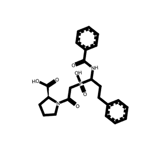 O=C(NC(CCc1ccccc1)P(=O)(O)CC(=O)N1CCC[C@H]1C(=O)O)c1ccccc1